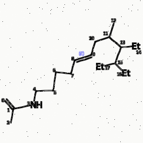 C=C(C)NCCCC/C=C/CC(C)C(CC)C(CC)CC